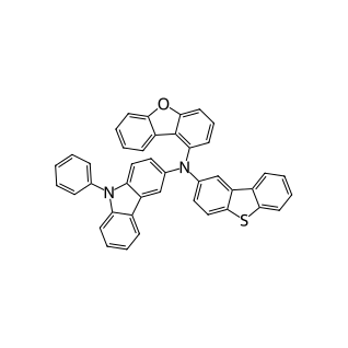 c1ccc(-n2c3ccccc3c3cc(N(c4ccc5sc6ccccc6c5c4)c4cccc5oc6ccccc6c45)ccc32)cc1